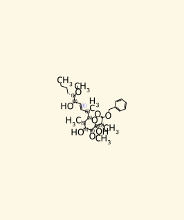 CCCC[C@H](OC)[C@H](O)/C=C/[C@H](C)[C@@H]1O[C@](O)([C@H](C)C(=O)OCc2ccccc2)[C@H](OC)[C@@H](O)[C@@H]1C